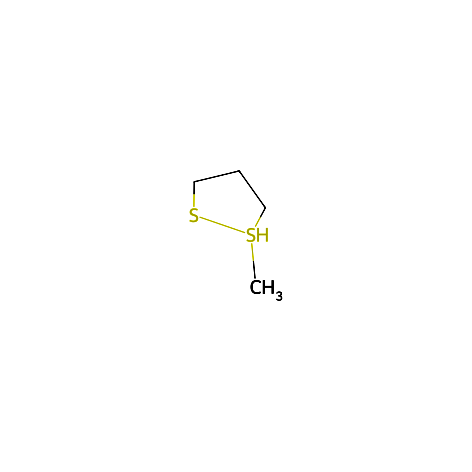 C[SH]1CCCS1